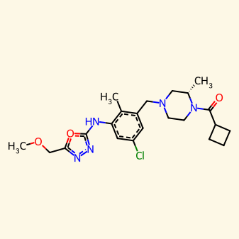 COCc1nnc(Nc2cc(Cl)cc(CN3CCN(C(=O)C4CCC4)[C@@H](C)C3)c2C)o1